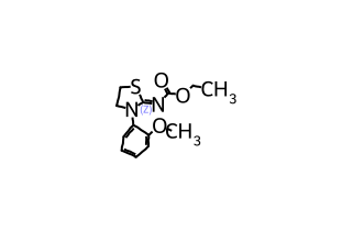 CCOC(=O)/N=C1\SCCN1c1ccccc1OC